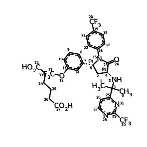 CC(C)(N[C@@H]1C[C@H](c2cccc(OC(F)(F)F)c2)N(c2ccc(C(F)(F)F)cc2)C1=O)c1ccnc(C(F)(F)F)n1.O=C(O)CCCCC(=O)O